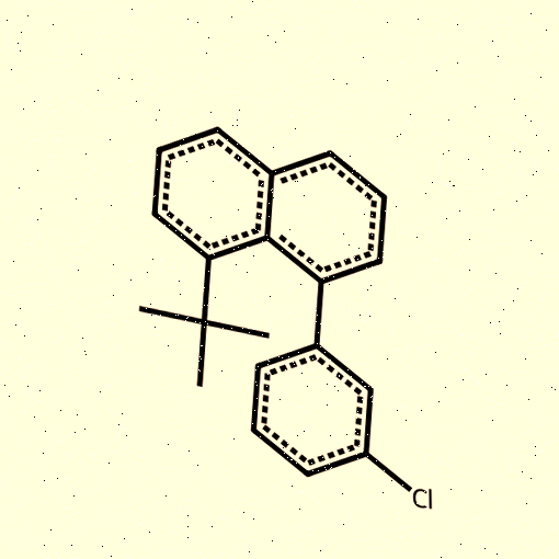 CC(C)(C)c1cccc2cccc(-c3cccc(Cl)c3)c12